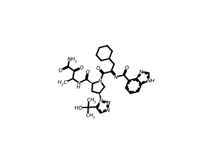 CC(NC(=O)[C@@H]1C[C@H](n2nncc2C(C)(C)O)CN1C(=O)/C(CC1CCCCC1)=N/C(=O)c1cccc2[nH]cnc12)C(=O)C(N)=O